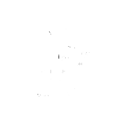 COC[C@H]1O[C@@H](C)C(C)[C@H]1OP(=O)(O)OC[C@H]1O[C@@H](C)C(C)[C@H]1OP(=O)(O)OC